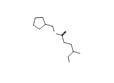 CC(CCl)CCC(=N)NCC1CCCC1